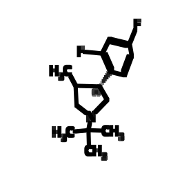 CC1CN(C(C)(C)C)C[C@H]1c1ccc(F)cc1F